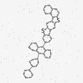 c1ccc(-c2ccc(-c3c4ccccc4c(-c4ccc5c(c4)sc4cc6c(cc45)sc4ccc5ccccc5c46)c4ccccc34)cc2)cc1